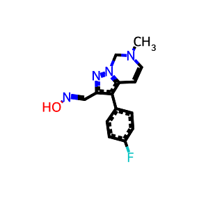 CN1C=Cc2c(-c3ccc(F)cc3)c(C=NO)nn2C1